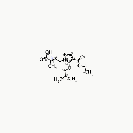 CCOC(=O)c1cnn(C/C=C(\C)C(=O)O)c1OCC(C)C